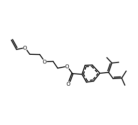 C=COCCOCCOC(=O)c1ccc(C(C=C(C)C)=C(C)C)cc1